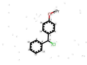 CC(C)Oc1ccc(C(Cl)c2ccccc2)cc1